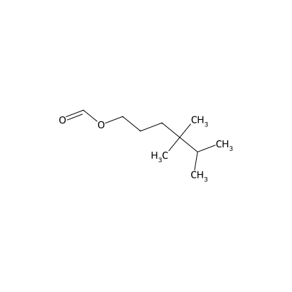 CC(C)C(C)(C)CCCOC=O